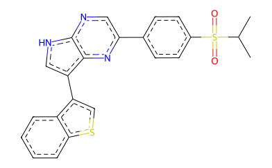 CC(C)S(=O)(=O)c1ccc(-c2cnc3[nH]cc(-c4csc5ccccc45)c3n2)cc1